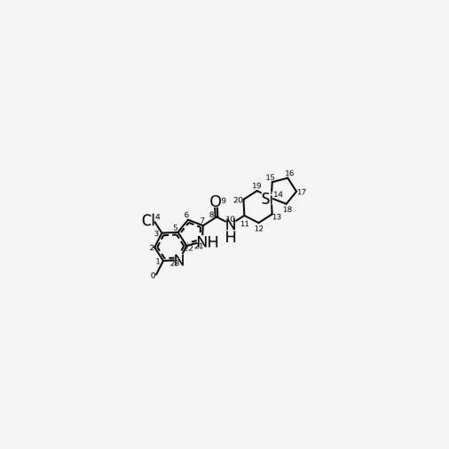 Cc1cc(Cl)c2cc(C(=O)NC3CC[Si]4(CCCC4)CC3)[nH]c2n1